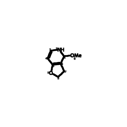 COC1NC=CC2=C1CCO2